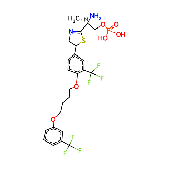 C[C@](N)(COP(=O)(O)O)C1=NCC(c2ccc(OCCCCOc3cccc(C(F)(F)F)c3)c(C(F)(F)F)c2)S1